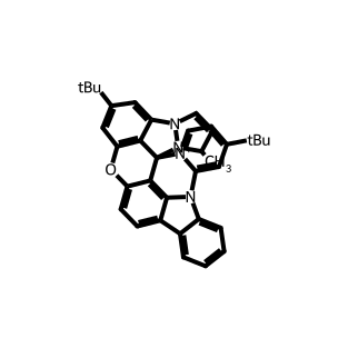 CC1C=CN2c3cc(C(C)(C)C)cc4c3C3(c5c(ccc6c7ccccc7n(c56)-c5cc(C(C)(C)C)cc[n+]53)O4)N12